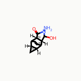 NN1C(=O)[C@H]2C3C=CC([C@H]2C1O)[C@@H]1C[C@H]31